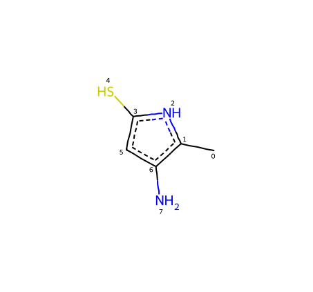 Cc1[nH]c(S)cc1N